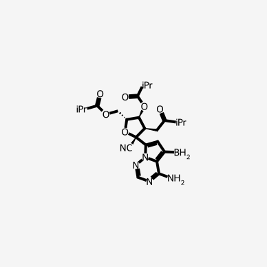 Bc1cc([C@]2(C#N)O[C@H](COC(=O)C(C)C)[C@@H](OC(=O)C(C)C)[C@H]2CC(=O)C(C)C)n2ncnc(N)c12